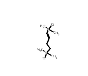 C[Si](C)(Cl)C=CCC[Si](C)(C)Cl